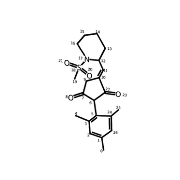 Cc1cc(C)c(C2C(=O)C/C(=C\C3CCCCN3S(C)(=O)=O)C2=O)c(C)c1